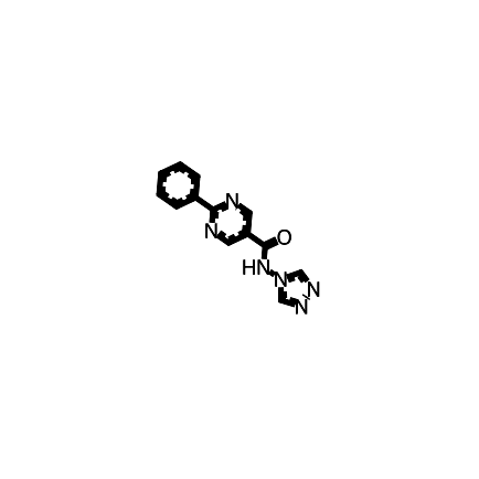 O=C(Nn1cnnc1)c1cnc(-c2ccccc2)nc1